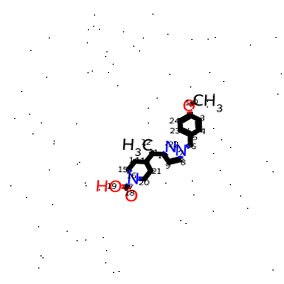 COc1ccc(Cn2ccc(C(C)C3CCN(C(=O)O)CC3)n2)cc1